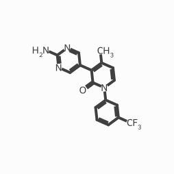 Cc1ccn(-c2cccc(C(F)(F)F)c2)c(=O)c1-c1cnc(N)nc1